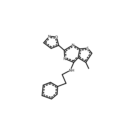 Cc1csc2nc(-c3ccno3)nc(NCCc3ccccc3)c12